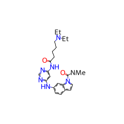 CCN(CC)CCCCC(=O)Nc1cc(Nc2ccc3ccn(C(=O)NC)c3c2)ncn1